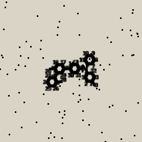 Cc1ccc(N(c2ccccc2)c2ccc(-c3ccc(C)c(-c4ccccc4C)c3)cc2)cc1